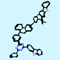 CC1(C)c2cc(-c3ccc4c(c3)-c3ccccc3C(c3cccc(-c5nc(-c6ccccc6)nc(-c6ccc7c(c6)oc6ccccc67)n5)c3)C4)ccc2-c2cc3c(cc21)oc1ccccc13